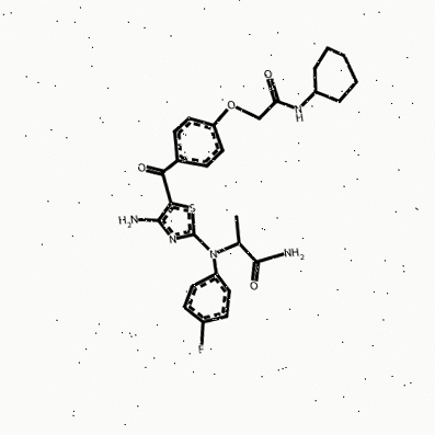 CC(C(N)=O)N(c1ccc(F)cc1)c1nc(N)c(C(=O)c2ccc(OCC(=O)NC3CCCCC3)cc2)s1